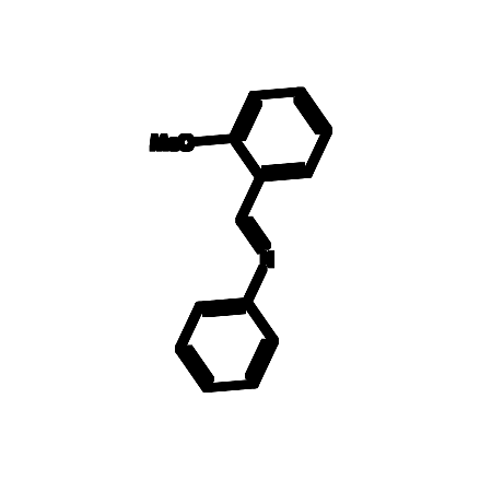 COc1ccccc1C=Nc1ccccc1